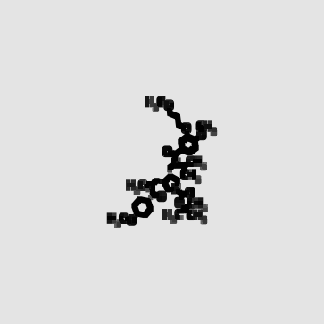 COCCCOc1cc(C(=O)N(C[C@@H]2CN(C(=O)OC(C)(C)C)C[C@H]2CN(C)C(=O)[C@H]2CC[C@@H](OC)CC2)C(C)C)ccc1OC